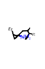 CCC1CC1(N)CC(C)C(C)C(C)C